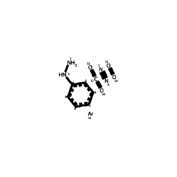 N#N.NNc1ccccc1.O=C=O.O=O.[Ar]